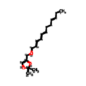 CCCCCCCCCCCCOCC1COC(C)(C)O1